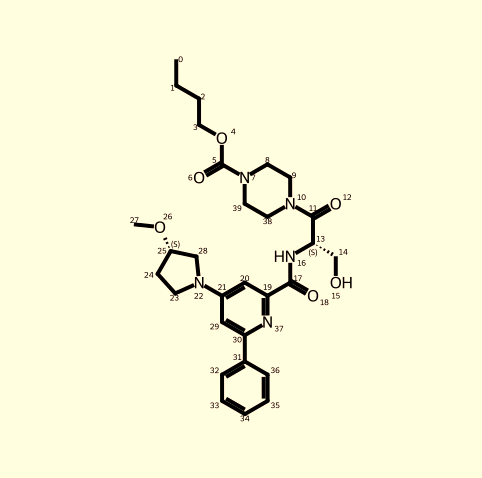 CCCCOC(=O)N1CCN(C(=O)[C@H](CO)NC(=O)c2cc(N3CC[C@H](OC)C3)cc(-c3ccccc3)n2)CC1